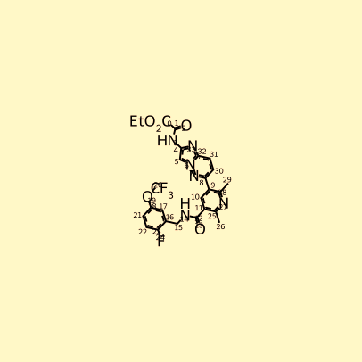 CCOC(=O)C(=O)Nc1cn2nc(-c3cc(C(=O)NCc4cc(OC(F)(F)F)ccc4F)c(C)nc3C)ccc2n1